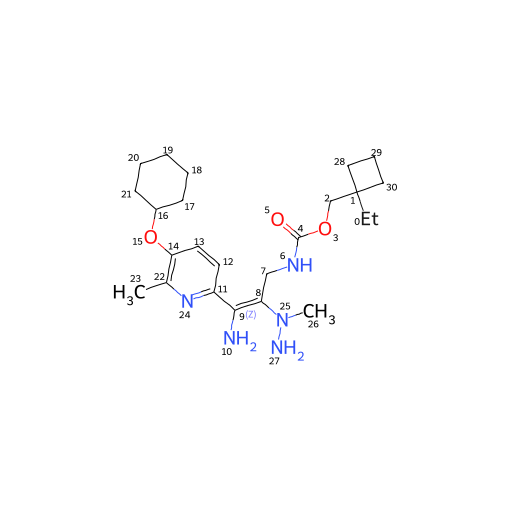 CCC1(COC(=O)NC/C(=C(/N)c2ccc(OC3CCCCC3)c(C)n2)N(C)N)CCC1